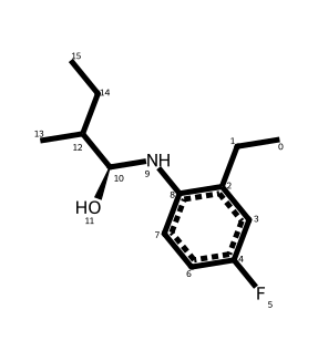 CCc1cc(F)ccc1N[C@@H](O)C(C)CC